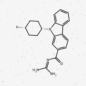 NC(N)=NC(=O)c1ccc2c3ccccc3n([C@H]3CC[C@@H](F)CC3)c2c1